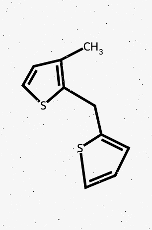 Cc1ccsc1Cc1cccs1